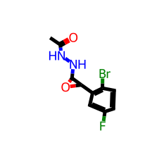 CC(=O)NNC1OC1c1cc(F)ccc1Br